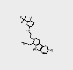 CNCCC1c2[nH]c3ccc(Cl)cc3c2CCN1CCNc1ccc(Cl)c(C(F)(F)F)n1